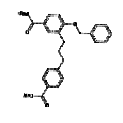 CCCCCC(=O)c1ccc(OCc2ccccc2)c(CCCc2ccc(C(=O)OC)cc2)c1